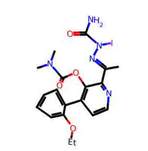 CCOc1ccccc1-c1ccnc(C(C)=NN(I)C(N)=O)c1OC(=O)N(C)C